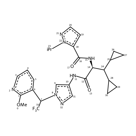 COc1ncccc1C(n1cc(NC(=O)[C@@H](NC(=O)c2ccnn2C(C)C)C(C2CC2)C2CC2)cn1)C(F)(F)F